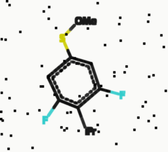 COSc1cc(F)c(C(C)C)c(F)c1